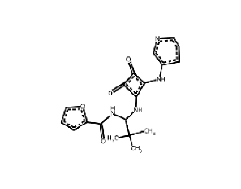 CC(C)(C)C(NC(=O)c1ccco1)Nc1c(Nc2cccnc2)c(=O)c1=O